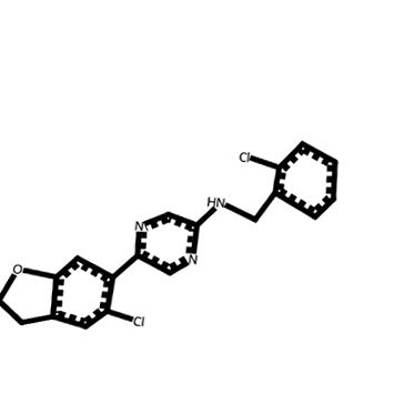 Clc1ccccc1CNc1cnc(-c2cc3c(cc2Cl)CCO3)cn1